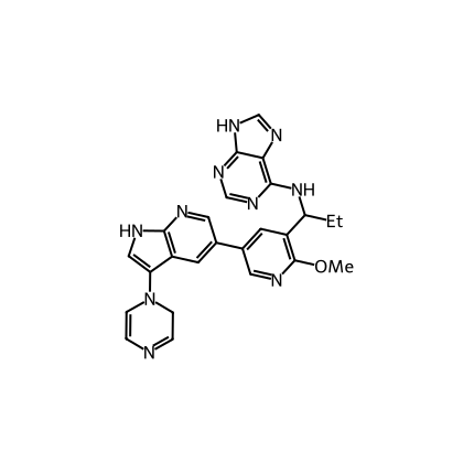 CCC(Nc1ncnc2[nH]cnc12)c1cc(-c2cnc3[nH]cc(N4C=CN=CC4)c3c2)cnc1OC